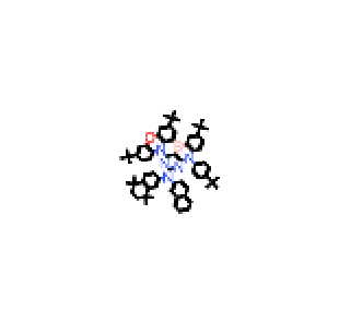 CC(C)(C)c1ccc(N2c3ccc(C(C)(C)C)cc3B3c4cc(C(C)(C)C)cc5c4N(c4ccc(C(C)(C)C)cc4O5)c4nc(N(c5ccc6c(c5)C(C)(C)CCC6(C)C)c5ccc6ccccc6c5)nc2c43)cc1